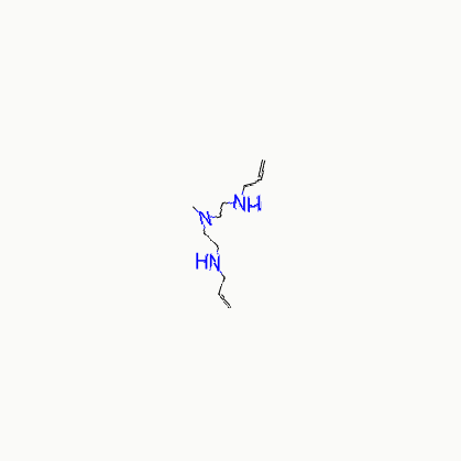 C=CCNCCN(C)CCNCC=C